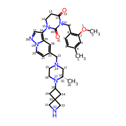 COc1cc(C)ccc1CN1C(=O)CCN(c2cnn3ccc(CN4CCN(C5CC6(CNC6)C5)[C@@H](C)C4)cc23)C1=O